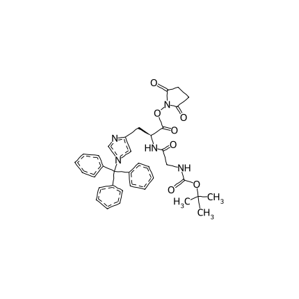 CC(C)(C)OC(=O)NCC(=O)N[C@@H](Cc1cn(C(c2ccccc2)(c2ccccc2)c2ccccc2)cn1)C(=O)ON1C(=O)CCC1=O